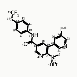 CCCN(C)c1ncc(C(=O)Nc2ccc(SC(F)(F)F)cc2)cc1-c1cncc(F)c1